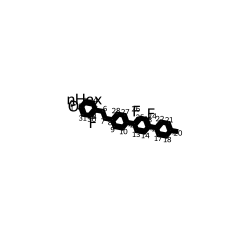 CCCCCCOc1ccc(CCc2ccc(-c3ccc(-c4ccc(C)cc4)c(F)c3F)cc2)c(F)c1